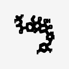 CCN1C(=O)c2c(O)c(=O)c(-c3nnc(Cc4ccc(F)cc4F)s3)cn2N(C)C12CCC(C(=O)N(C)CC(C)(F)F)CC2